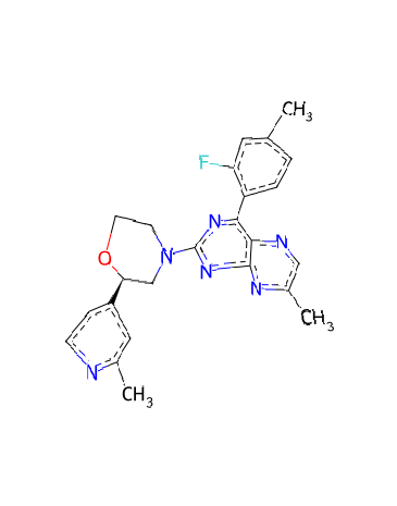 Cc1ccc(-c2nc(N3CCO[C@H](c4ccnc(C)c4)C3)nc3nc(C)cnc23)c(F)c1